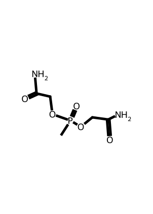 CP(=O)(OCC(N)=O)OCC(N)=O